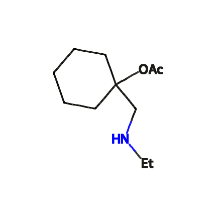 CCNCC1(OC(C)=O)CCCCC1